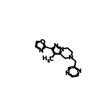 Cc1c(-c2ncco2)nn2c1CN(Cc1cnccn1)CC2